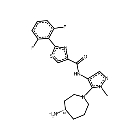 Cn1ncc(NC(=O)c2csc(-c3c(F)cccc3F)n2)c1N1CCC[C@H](N)CC1